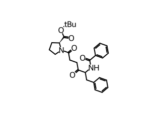 CC(C)(C)OC(=O)[C@@H]1CCCN1C(=O)CCC(=O)C(Cc1ccccc1)NC(=O)c1ccccc1